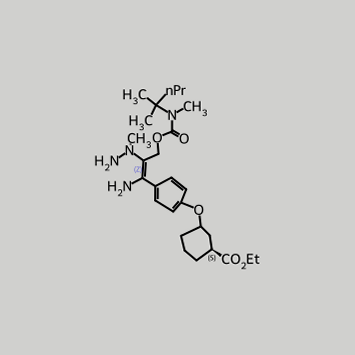 CCCC(C)(C)N(C)C(=O)OC/C(=C(/N)c1ccc(OC2CCC[C@H](C(=O)OCC)C2)cc1)N(C)N